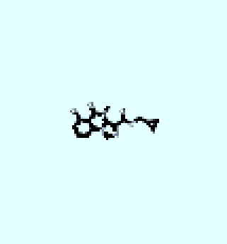 Cn1c(=O)c2c(Cl)cccc2n2cnc(C(=O)OCC3CC3)c12